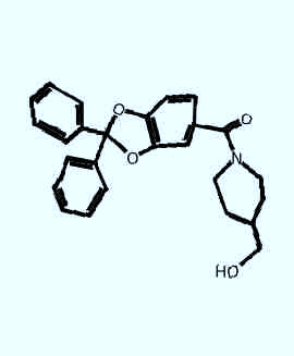 O=C(c1ccc2c(c1)OC(c1ccccc1)(c1ccccc1)O2)N1CCC(CO)CC1